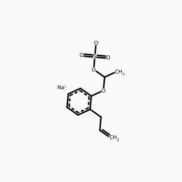 C=CCc1ccccc1OC(C)OS(=O)(=O)[O-].[Na+]